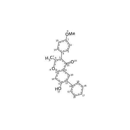 COc1ccc(-c2c(C)oc3cc(O)c(-c4ccccc4)cc3c2=O)cc1